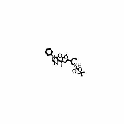 CCC(CC[C@@](I)(C(=O)OC)c1cn(-c2ccccc2)cn1)CNC(=O)OC(C)(C)C